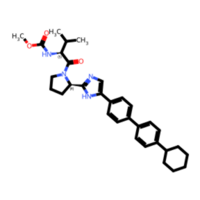 COC(=O)N[C@H](C(=O)N1CCC[C@@H]1c1ncc(-c2ccc(-c3ccc(C4CCCCC4)cc3)cc2)[nH]1)C(C)C